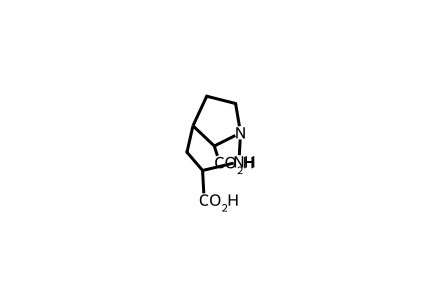 O=C(O)C1CC2CCN(N1)C2C(=O)O